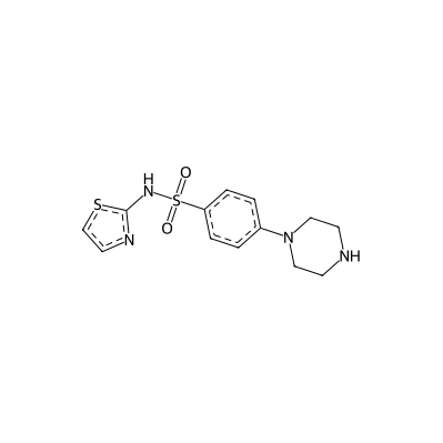 O=S(=O)(Nc1nccs1)c1ccc(N2CCNCC2)cc1